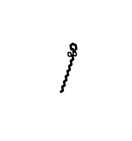 CCCCCCCCCCCCCCC(=O)ON1CCCCC1